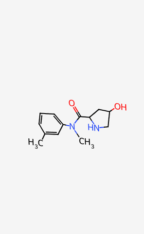 Cc1cccc(N(C)C(=O)C2CC(O)CN2)c1